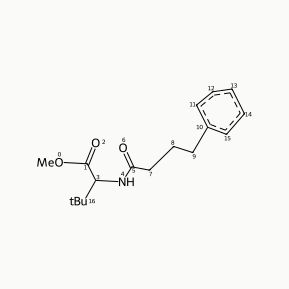 COC(=O)C(NC(=O)CCCc1ccccc1)C(C)(C)C